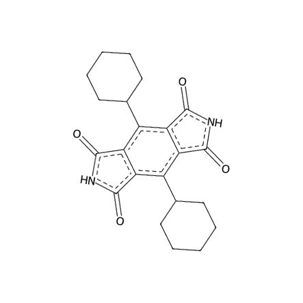 O=c1[nH]c(=O)c2c(C3CCCCC3)c3c(=O)[nH]c(=O)c3c(C3CCCCC3)c12